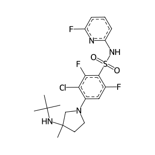 CC(C)(C)NC1(C)CCN(c2cc(F)c(S(=O)(=O)Nc3cccc(F)n3)c(F)c2Cl)C1